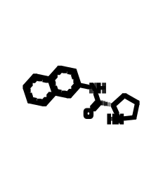 O=C(Nc1ccc2ccccc2c1)[C@@H]1CCCN1